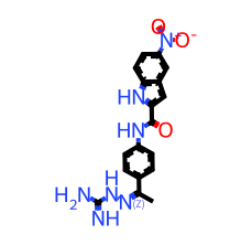 C/C(=N/NC(=N)N)c1ccc(NC(=O)c2cc3cc([N+](=O)[O-])ccc3[nH]2)cc1